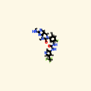 CNc1ncc2c(n1)N(C)C(=O)N(c1cc(NC(=O)Nc3cncc(C(F)(F)F)c3)c(F)cc1C)C2